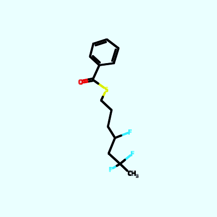 CC(F)(F)CC(F)CCCSC(=O)c1ccccc1